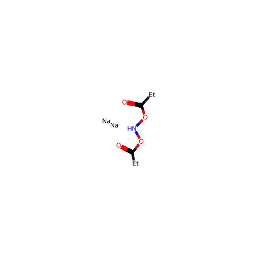 CCC(=O)ONOC(=O)CC.[Na].[Na]